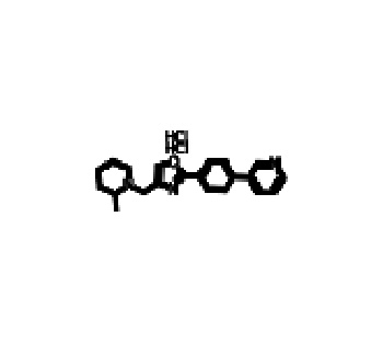 CC1CCCCN1Cc1coc(-c2ccc(-c3cccnc3)cc2)n1.Cl.Cl